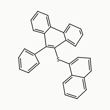 c1ccc(-c2c(Sc3cccc4ccccc34)c3ccccc3c3ccccc23)cc1